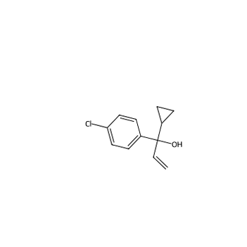 C=CC(O)(c1ccc(Cl)cc1)C1CC1